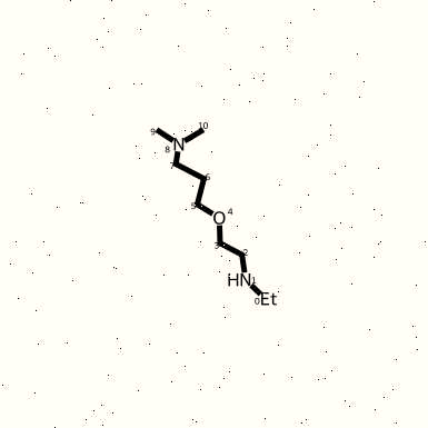 CCNCCOCCCN(C)C